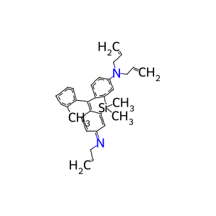 C=CC/N=C1\C=CC2=C(c3ccccc3C)c3ccc(N(CC=C)CC=C)cc3[Si](C)(C)C2=C1